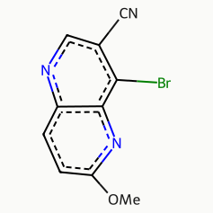 COc1ccc2ncc(C#N)c(Br)c2n1